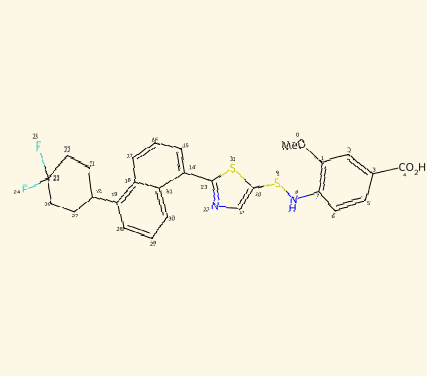 COc1cc(C(=O)O)ccc1NSc1cnc(-c2cccc3c(C4CCC(F)(F)CC4)cccc23)s1